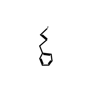 FC=CCc1cc[c]cc1